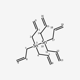 C=C[CH2][Sn]([CH2]C=C)([CH2]C=C)[Sn]([CH2]C=C)([CH2]C=C)[CH2]C=C